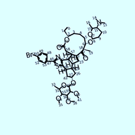 CC[C@H]1CCC[C@H](O[C@H]2CC[C@H](N(C)C)C(C)O2)[C@@H](C)C(=O)C2=C[C@H]3[C@@H]4C[C@H](OC5OC(C)C(OC)C(OC)C5OC)C[C@H]4c4sc(-c5ccc(Br)cc5)nc4[C@H]3[C@@H]2CC(=O)O1